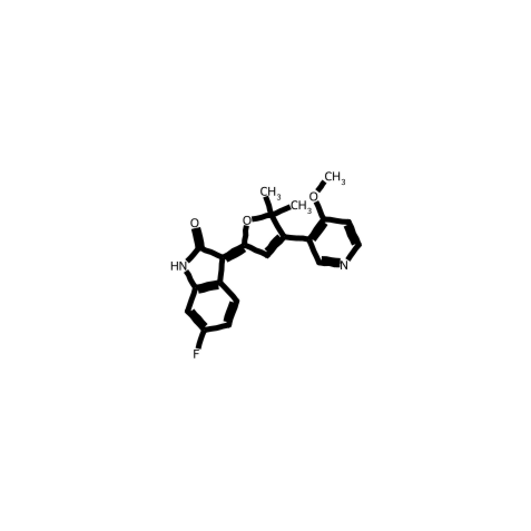 COc1ccncc1C1=CC(=C2C(=O)Nc3cc(F)ccc32)OC1(C)C